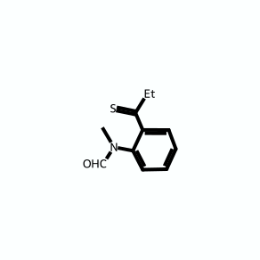 CCC(=S)c1ccccc1N(C)C=O